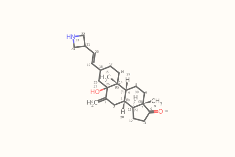 C=C1C[C@@H]2[C@@H](CC[C@]3(C)C(=O)CC[C@@H]23)[C@@]2(C)CCC(C=CC3CNC3)CC12O